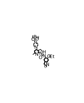 CCOc1cc2nn(C)cc2cc1NC(=O)N1CCc2c(N3CCN(C(=O)OC(C)(C)C)CC3)cc(C)nc21